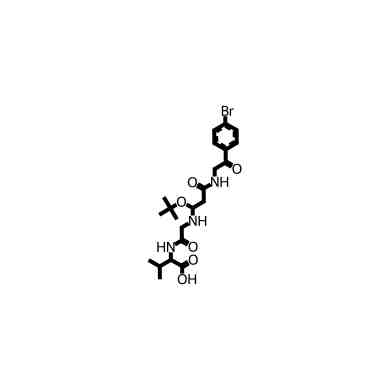 CC(C)C(NC(=O)CNC(CC(=O)NCC(=O)c1ccc(Br)cc1)OC(C)(C)C)C(=O)O